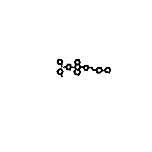 Cc1cccc(N(c2ccccc2)c2ccc(-c3c4ccccc4c(-c4ccc(/C=C/c5ccc(-c6ccccc6)cc5)cc4)c4ccccc34)cc2)c1